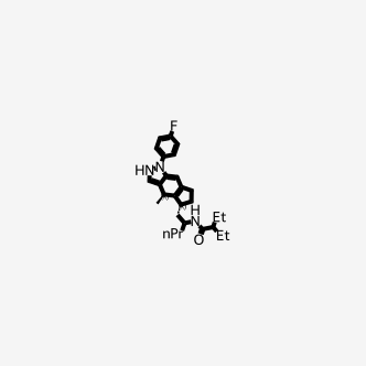 CCCC(C[C@H]1CCC2=C1[C@@H](C)C1=CNN(c3ccc(F)cc3)C1=C2)NC(=O)C(CC)CC